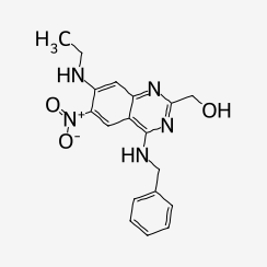 CCNc1cc2nc(CO)nc(NCc3ccccc3)c2cc1[N+](=O)[O-]